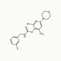 CCc1nc(N2CCOCC2)cc(C)c1OC(=O)NCc1cccc(F)c1